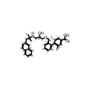 C[C@@H](OC[C@H](O)CNC(C)(C)Cc1ccc2ccccc2c1)c1ccccc1-c1ccc(C(=O)O)cc1F